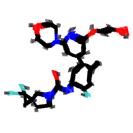 Cc1cc(F)c(NC(=O)N2CC[C@]3(C2)CC3(F)F)cc1-c1cc(OCCO)nc(N2CCOCC2)c1